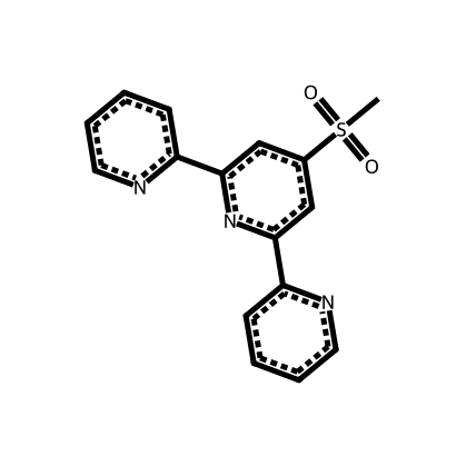 CS(=O)(=O)c1cc(-c2ccccn2)nc(-c2ccccn2)c1